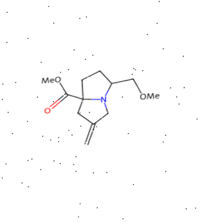 C=C1CN2C(COC)CCC2(C(=O)OC)C1